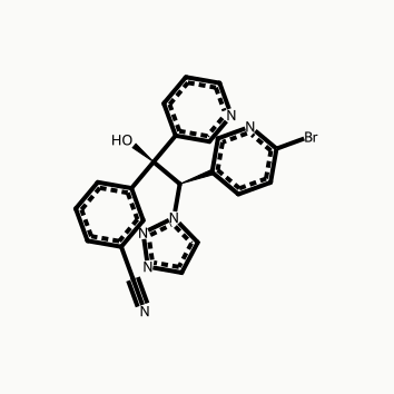 N#Cc1cccc([C@](O)(c2cccnc2)[C@@H](c2ccc(Br)nc2)n2ccnn2)c1